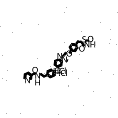 Cl.Cl.Cn1c(COc2ccc(CC3SC(=O)NC3=O)cc2)nc2ccc(Oc3ccc(CCNC(=O)c4cccnc4)cc3)cc21